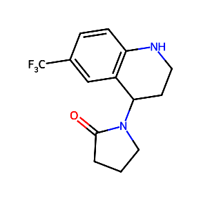 O=C1CCCN1C1CCNc2ccc(C(F)(F)F)cc21